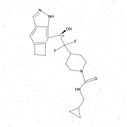 O=C(NCC1CC1)N1CCC(C(F)(F)[C@H](O)c2c3c(cc4cn[nH]c24)CC3)CC1